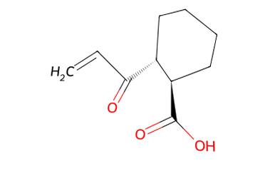 C=CC(=O)[C@@H]1CCCC[C@H]1C(=O)O